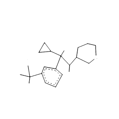 CC(C1CCCNC1)C(O)(c1cccc(C(F)(F)F)c1)C1CC1